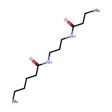 CC(C)(C)CCCCC(=O)NCCCNC(=O)CCC(C)(C)C